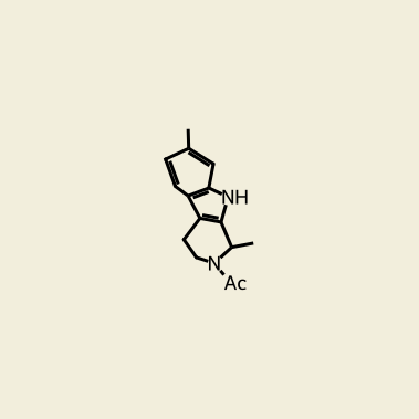 CC(=O)N1CCc2c([nH]c3cc(C)ccc23)C1C